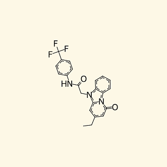 CCc1cc(=O)n2c3ccccc3n(CC(=O)Nc3ccc(C(F)(F)F)cc3)c2c1